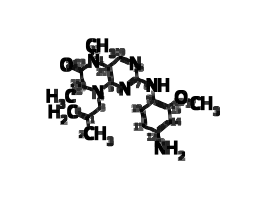 C=C(C)CN1c2nc(Nc3ccc(N)cc3OC)ncc2N(C)C(=O)[C@H]1C